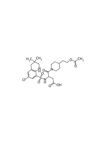 CC(=O)OCCC1CCN(C(=O)C(CC(=O)O)NS(=O)(=O)c2cc(Cl)cc3c2NCC(C)(C)C3)CC1